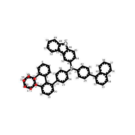 c1ccc(-c2ccccc2-c2c(-c3ccccc3)cccc2-c2ccc(N(c3ccc(-c4cccc5ccccc45)cc3)c3ccc4oc5ccccc5c4c3)cc2)cc1